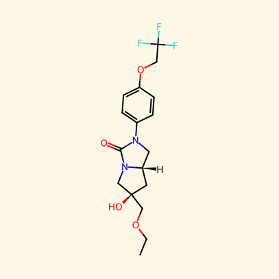 CCOC[C@@]1(O)C[C@H]2CN(c3ccc(OCC(F)(F)F)cc3)C(=O)N2C1